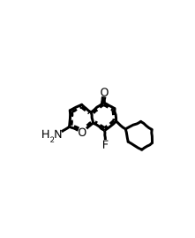 Nc1ccc2c(=O)cc(C3CCCCC3)c(F)c-2o1